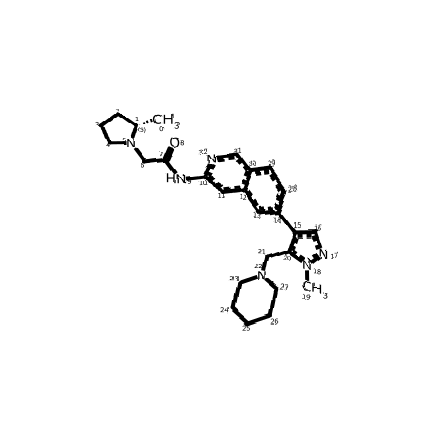 C[C@H]1CCCN1CC(=O)Nc1cc2cc(-c3cnn(C)c3CN3CCCCC3)ccc2cn1